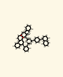 c1ccc(-c2cc3ccccc3c3ccccc23)c(-c2nc(-c3ccc(-c4cccc5ccccc45)cc3)nc(-c3cccc4c3oc3ccccc34)n2)c1